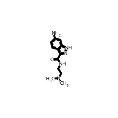 CN(C)CCNC(=O)c1n[nH]c2cc(N)ccc12